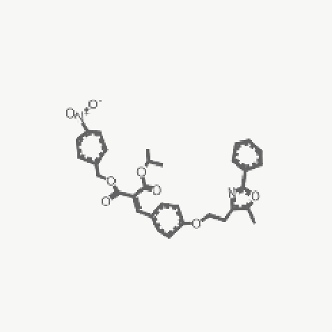 Cc1oc(-c2ccccc2)nc1CCOc1ccc(C=C(C(=O)OCc2ccc([N+](=O)[O-])cc2)C(=O)OC(C)C)cc1